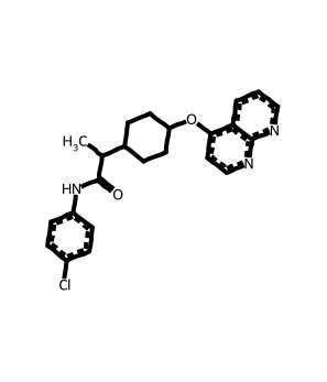 CC(C(=O)Nc1ccc(Cl)cc1)C1CCC(Oc2ccnc3ncccc23)CC1